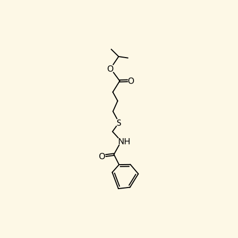 CC(C)OC(=O)CCCSCNC(=O)c1ccccc1